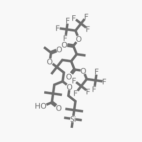 CC(=O)OC(C)(CC(CC(C)(C)C(=O)O)OCCC(C)(C)[Si](C)(C)C)CC(C(=O)OC(C(F)(F)F)C(F)(F)F)C(C)C(=O)OC(C(F)(F)F)C(F)(F)F